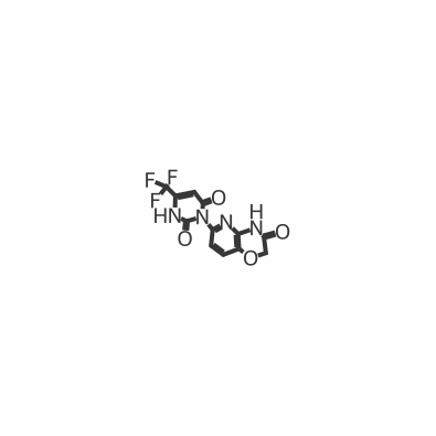 O=C1COc2ccc(-n3c(=O)cc(C(F)(F)F)[nH]c3=O)nc2N1